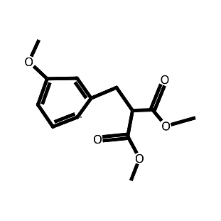 COC(=O)C(Cc1[c]ccc(OC)c1)C(=O)OC